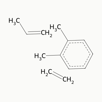 C=C.C=CC.Cc1ccccc1C